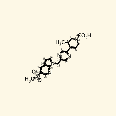 CC1CN(C(=O)O)CC=C1c1cnc(Cn2ccc3cc(S(C)(=O)=O)cnc32)cn1